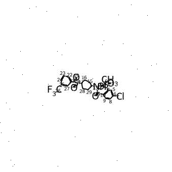 CS(=O)(=O)c1cc(Cl)ccc1C(=O)N[C@H]1CC[C@H](S(=O)(=O)c2cccc(C(F)(F)F)c2)CC1